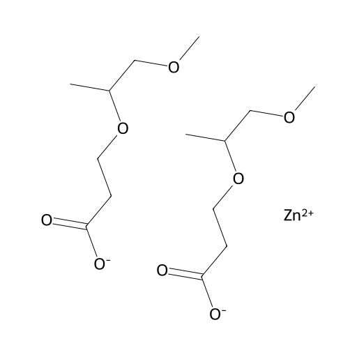 COCC(C)OCCC(=O)[O-].COCC(C)OCCC(=O)[O-].[Zn+2]